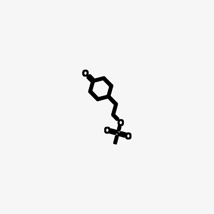 CS(=O)(=O)OCCC1CCC(=O)CC1